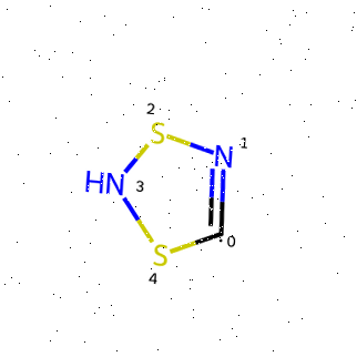 [C]1=NSNS1